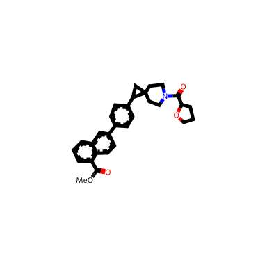 COC(=O)c1cccc2cc(-c3ccc(C4CC45CCN(C(=O)C4CCCO4)CC5)cc3)ccc12